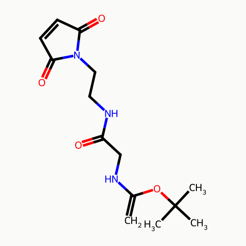 C=C(NCC(=O)NCCN1C(=O)C=CC1=O)OC(C)(C)C